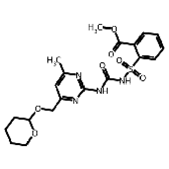 COC(=O)c1ccccc1S(=O)(=O)NC(=O)Nc1nc(C)cc(COC2CCCCO2)n1